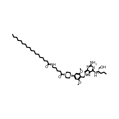 CCCCCCCCCCCCCCCCCC(=O)NCCCCC(=O)N1CCN(c2cc(OC)c(Cn3cc4nc(N)nc(N[C@H](CO)CCC)c4n3)c(OC)c2)CC1